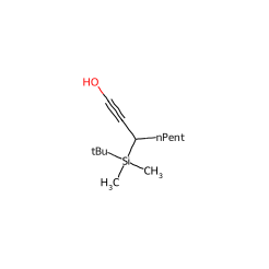 CCCCCC(C#CO)[Si](C)(C)C(C)(C)C